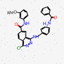 COc1cccc(NC(=O)c2ccc3c(Cl)nnc(NCc4ccccc4)c3c2)c1.NC(=O)c1ccccc1